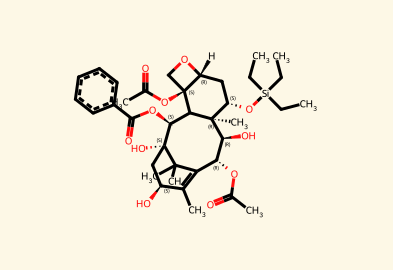 CC[Si](CC)(CC)O[C@H]1C[C@H]2OC[C@@]2(OC(C)=O)C2[C@H](OC(=O)c3ccccc3)[C@]3(O)C[C@H](O)C(C)=C([C@@H](OC(C)=O)[C@H](O)[C@@]21C)C3(C)C